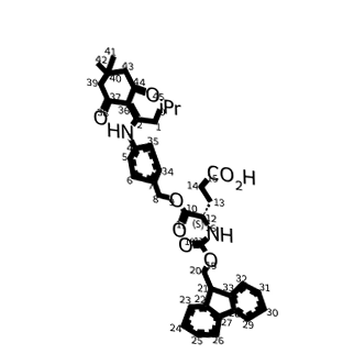 CC(C)CC(Nc1ccc(COC(=O)[C@H](CCC(=O)O)NC(=O)OCC2c3ccccc3-c3ccccc32)cc1)=C1C(=O)CC(C)(C)CC1=O